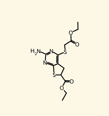 CCOC(=O)CSc1nc(N)nc2c1CC(C(=O)OCC)S2